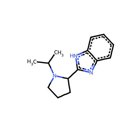 CC(C)N1CCCC1c1nc2ccccc2[nH]1